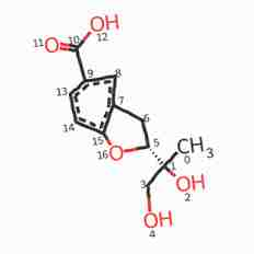 CC(O)(CO)[C@H]1Cc2cc(C(=O)O)ccc2O1